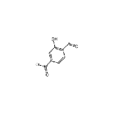 O=[C]c1ccc([N+](=O)[O-])cc1O